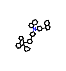 c1ccc(-c2c(-c3cccc(-c4ccc(N(c5ccc(-c6cccc7ccccc67)cc5)c5cccc6ccccc56)cc4)c3)c3ccccc3c3ccccc23)cc1